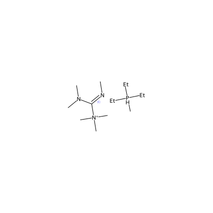 C/N=C(\N(C)C)[N+](C)(C)C.CC[PH](C)(CC)CC